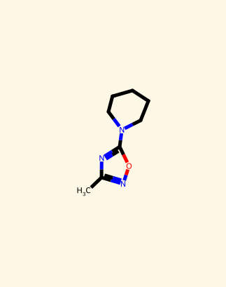 Cc1noc(N2CCCCC2)n1